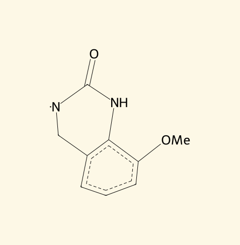 COc1cccc2c1NC(=O)[N]C2